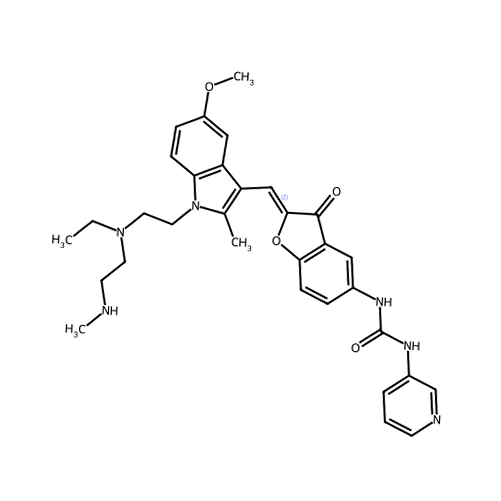 CCN(CCNC)CCn1c(C)c(/C=C2\Oc3ccc(NC(=O)Nc4cccnc4)cc3C2=O)c2cc(OC)ccc21